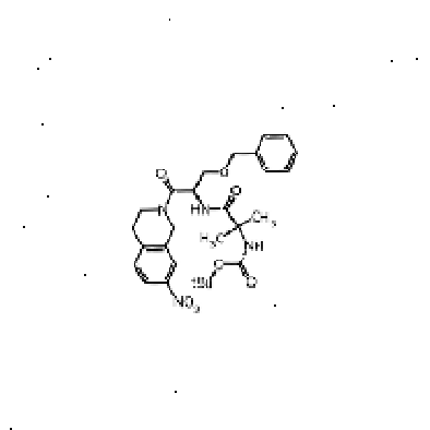 CC(C)(C)OC(=O)NC(C)(C)C(=O)NC(COCc1ccccc1)C(=O)N1CCc2ccc([N+](=O)[O-])cc2C1